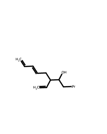 C=CC=CCC(C=C)C(O)CC(C)C